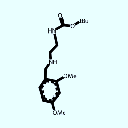 COc1ccc(CNCCNC(=O)OC(C)(C)C)c(OC)c1